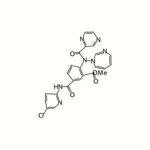 COC(=O)c1cc(C(=O)Nc2ccc(Cl)cn2)ccc1N(C(=O)c1cnccn1)N1C=CC=CN=C1